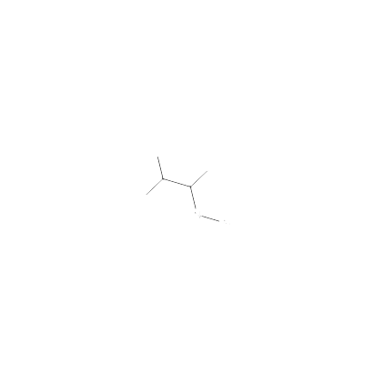 CC(=O)NC(F)C(F)F